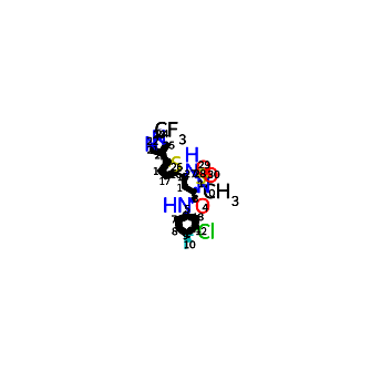 CN1[C@@H](C(=O)Nc2ccc(F)c(Cl)c2)C[C@@H](c2ccc(-c3cnn(C(F)(F)F)c3)s2)NS1(=O)=O